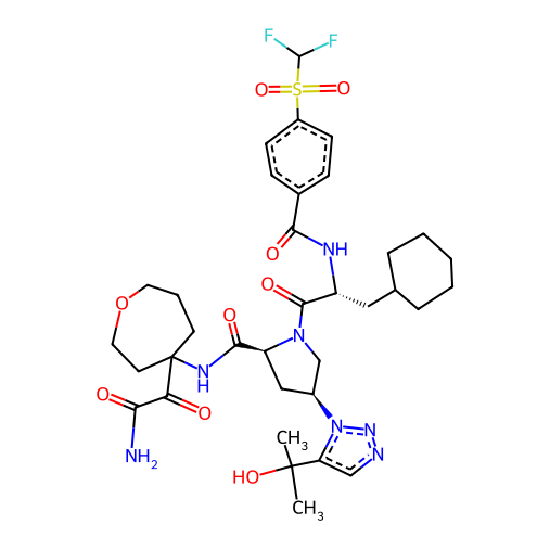 CC(C)(O)c1cnnn1[C@H]1C[C@@H](C(=O)NC2(C(=O)C(N)=O)CCCOCC2)N(C(=O)[C@@H](CC2CCCCC2)NC(=O)c2ccc(S(=O)(=O)C(F)F)cc2)C1